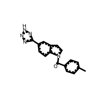 Cc1ccc(C(=O)n2ccc3cc(-c4nn[nH]n4)ccc32)cc1